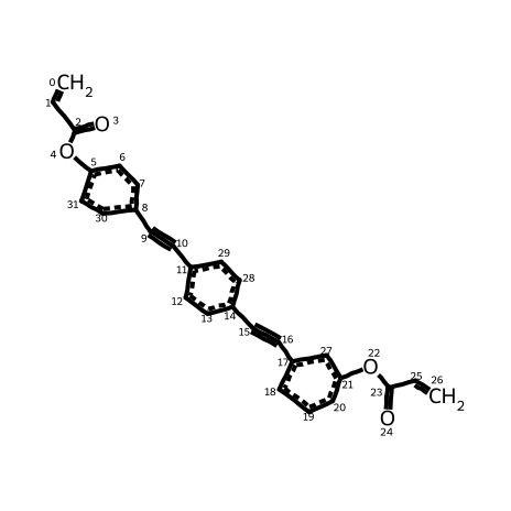 C=CC(=O)Oc1ccc(C#Cc2ccc(C#Cc3cccc(OC(=O)C=C)c3)cc2)cc1